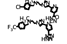 CN(CCn1cnc(-c2cc(-c3nn[nH]n3)ccn2)c1)Cc1ccc(C(F)(F)F)cc1.CN(CCn1cnc(-c2cc(C(=O)NC#N)ccn2)c1)Cc1ccc(Cl)cc1